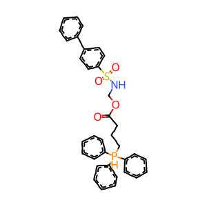 O=C(CCC[PH](c1ccccc1)(c1ccccc1)c1ccccc1)OCNS(=O)(=O)c1ccc(-c2ccccc2)cc1